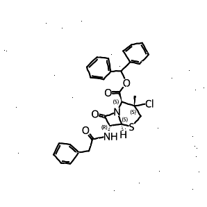 C[C@@]1(Cl)CS[C@H]2[C@H](NC(=O)Cc3ccccc3)C(=O)N2[C@H]1C(=O)OC(c1ccccc1)c1ccccc1